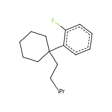 CC(C)CCC1(c2ccccc2F)CCCCC1